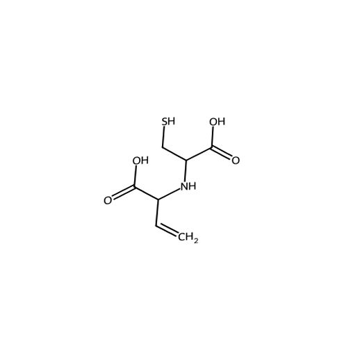 C=CC(NC(CS)C(=O)O)C(=O)O